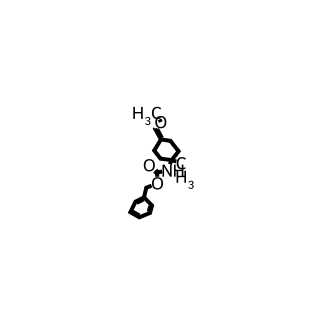 COC=C1CCC(C)(NC(=O)OCc2ccccc2)CC1